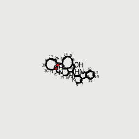 O[C@]12C=C(c3nccc4c3[nH]c3ccccc34)[C@@H]3CC[N@]4CCCC([C@@H]5/C=C\CCCCN5)(/C=C\CC1)C[C@@]3(C4)C2